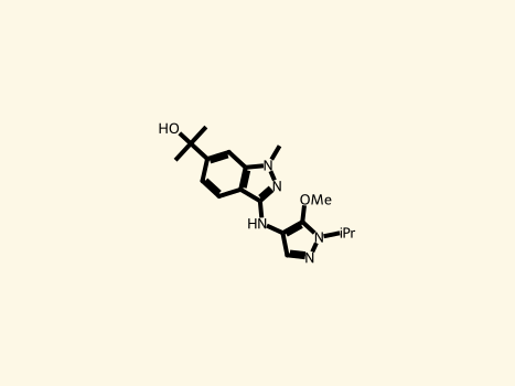 COc1c(Nc2nn(C)c3cc(C(C)(C)O)ccc23)cnn1C(C)C